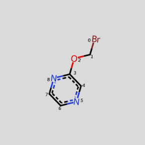 BrCOc1cnccn1